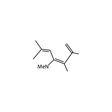 C=C(C)/C(C)=C(\C=C(C)C)NC